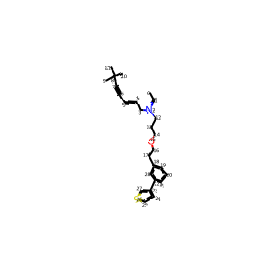 CCN(CC=CC#CC(C)(C)C)CCCOCCc1cccc(-c2ccsc2)c1